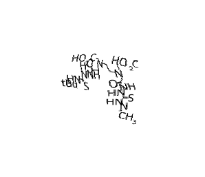 C/C=N/NC(=S)NNC(=O)CN(CCN(CC(=O)O)CC(=O)NNC(=S)NC(C)(C)C)CC(=O)O